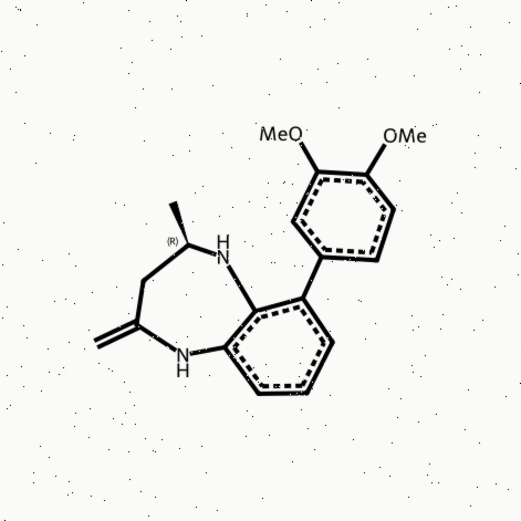 C=C1C[C@@H](C)Nc2c(cccc2-c2ccc(OC)c(OC)c2)N1